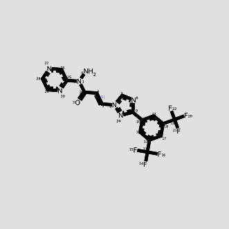 NN(C(=O)/C=C/n1cnc(-c2cc(C(F)(F)F)cc(C(F)(F)F)c2)n1)c1cnccn1